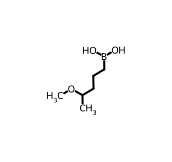 COC(C)CCCB(O)O